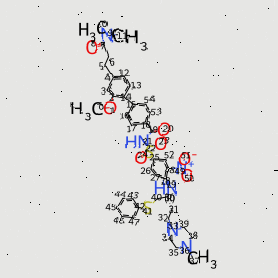 COc1cc(CCC(=O)N(C)C)ccc1-c1ccc(C(=O)NS(=O)(=O)c2ccc(N[C@H](CCN3CCN(C)CC3)CSc3ccccc3)c([N+](=O)[O-])c2)cc1